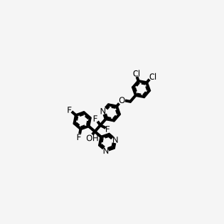 OC(c1cncnc1)(c1ccc(F)cc1F)C(F)(F)c1ccc(OCc2ccc(Cl)c(Cl)c2)cn1